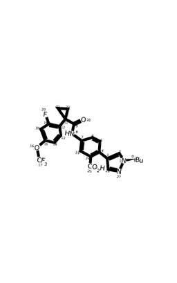 CC[C@H](C)n1cc(-c2ccc(NC(=O)C3(c4ccc(OC(F)(F)F)cc4F)CC3)cc2C(=O)O)cn1